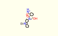 CCn1c2ccccc2c2cc(N(CCO)C(=O)c3ccccc3C(N)=O)ccc21